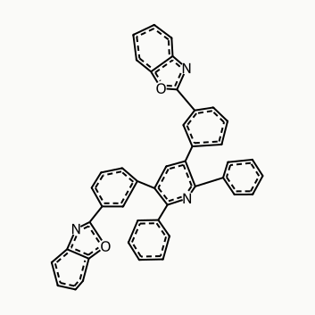 c1ccc(-c2nc(-c3ccccc3)c(-c3cccc(-c4nc5ccccc5o4)c3)cc2-c2cccc(-c3nc4ccccc4o3)c2)cc1